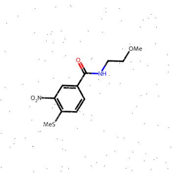 COCCNC(=O)c1ccc(SC)c([N+](=O)[O-])c1